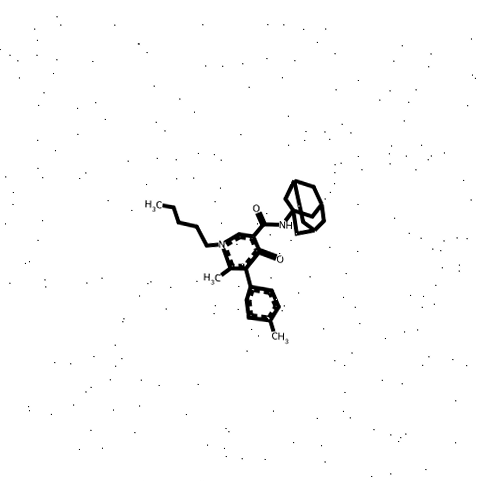 CCCCCn1cc(C(=O)NC23CC4CC(CC(C4)C2)C3)c(=O)c(-c2ccc(C)cc2)c1C